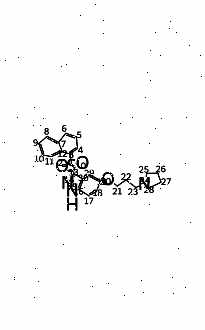 O=S(=O)(c1cccc2ccccc12)c1n[nH]c2ccc(OCCCN3CCCC3)cc12